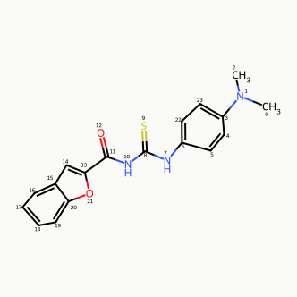 CN(C)c1ccc(NC(=S)NC(=O)c2cc3ccccc3o2)cc1